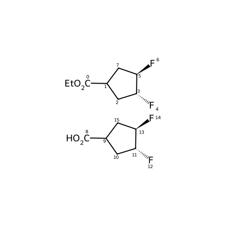 CCOC(=O)C1C[C@@H](F)[C@H](F)C1.O=C(O)C1C[C@@H](F)[C@H](F)C1